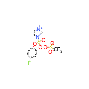 C[n+]1ccn(S(=O)(=O)Oc2ccc(F)cc2)c1.O=S(=O)([O-])C(F)(F)F